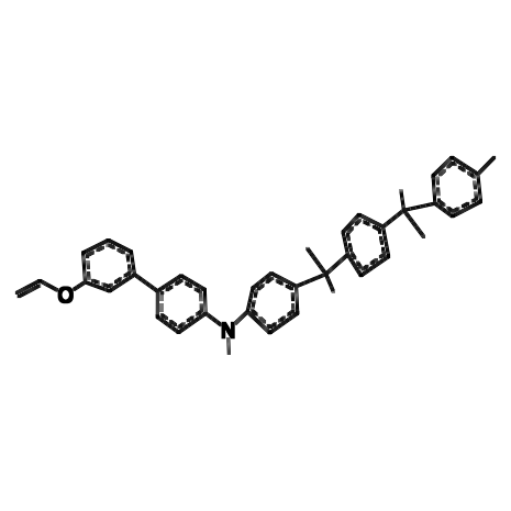 C=COc1cccc(-c2ccc(N(C)c3ccc(C(C)(C)c4ccc(C(C)(C)c5ccc(C)cc5)cc4)cc3)cc2)c1